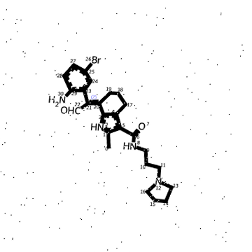 Cc1[nH]c2c(c1C(=O)NCCCN1CCCC1)CCC/C2=C(/C=O)c1cc(Br)ccc1N